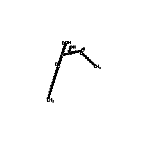 CCCCCCCCCCCCCCCCCCCCCCOC(=O)CCCCCCN(CCCCCCC(=O)O)CCCN(CCCO)CCCCCCC(=C=O)OCCCCCCCCCCCC